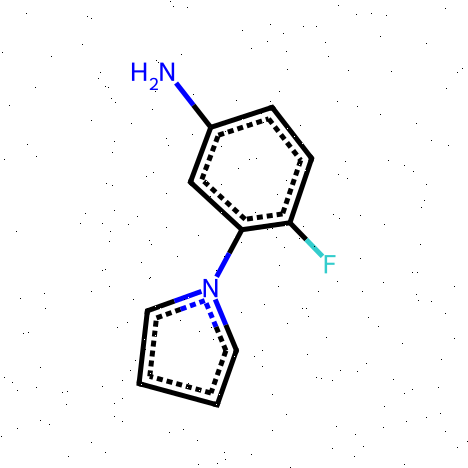 Nc1ccc(F)c(-n2cccc2)c1